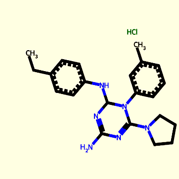 CCc1ccc(NC2N=C(N)N=C(N3CCCC3)N2c2cccc(C)c2)cc1.Cl